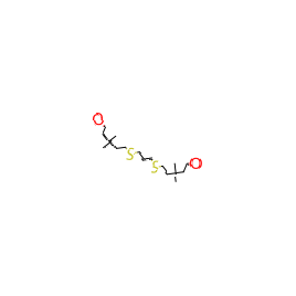 CC(C)(CC=O)CCSCCCSCCC(C)(C)CC=O